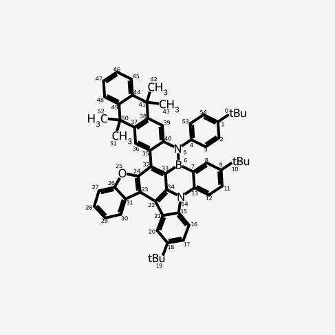 CC(C)(C)c1ccc(N2B3c4cc(C(C)(C)C)ccc4-n4c5ccc(C(C)(C)C)cc5c5c6c(oc7ccccc76)c(c3c54)-c3cc4c(cc32)C(C)(C)c2ccccc2C4(C)C)cc1